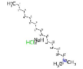 CCCCCCCCCCCCCCCCCCN(C)C.Cl.[NaH]